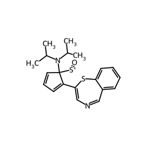 CC(C)N(C(C)C)C1([S+]=O)C=CC=C1C1=CN=Cc2ccccc2S1